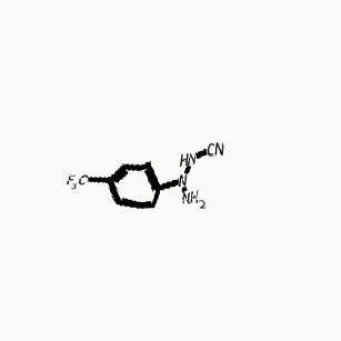 N#CNN(N)c1ccc(C(F)(F)F)cc1